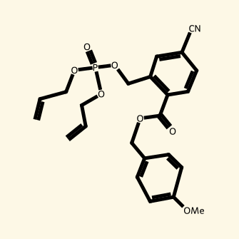 C=CCOP(=O)(OCC=C)OCc1cc(C#N)ccc1C(=O)OCc1ccc(OC)cc1